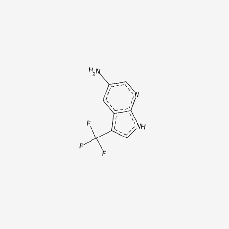 Nc1cnc2[nH]cc(C(F)(F)F)c2c1